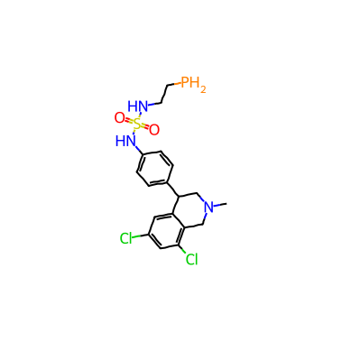 CN1Cc2c(Cl)cc(Cl)cc2C(c2ccc(NS(=O)(=O)NCCP)cc2)C1